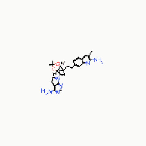 Cc1cc2ccc(CC[C@]34C[C@@](n5ccc6c(N)ncnc65)(C3)[C@@H]3OC(C)(C)O[C@@H]34)cc2nc1N